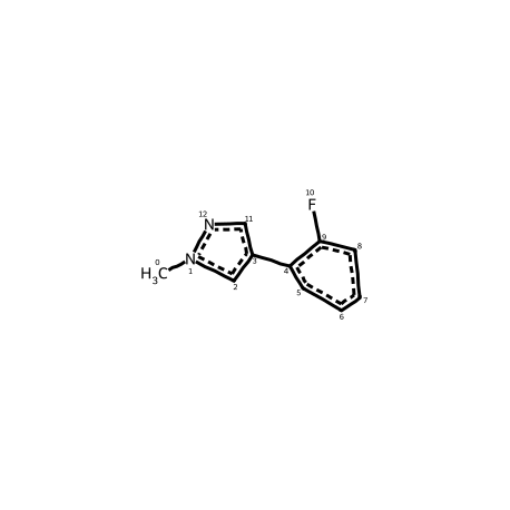 Cn1cc(-c2ccccc2F)cn1